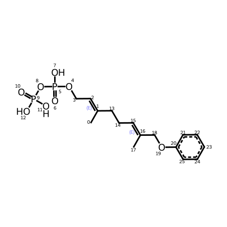 C/C(=C\COP(=O)(O)OP(=O)(O)O)CC/C=C(\C)COc1ccccc1